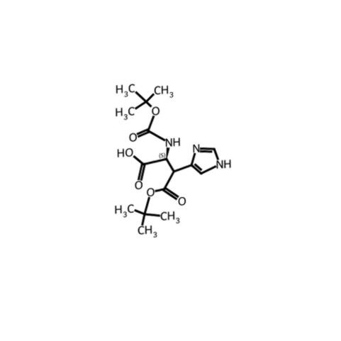 CC(C)(C)OC(=O)N[C@H](C(=O)O)C(C(=O)OC(C)(C)C)c1c[nH]cn1